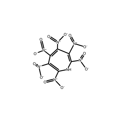 O=[N+]([O-])C1=C([N+](=O)[O-])C([N+](=O)[O-])=C([N+](=O)[O-])C([N+](=O)[O-])=C([N+](=O)[O-])N1